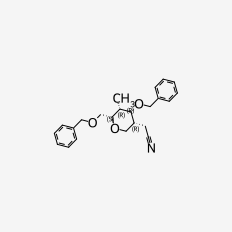 C[C@@H]1[C@H](OCc2ccccc2)[C@H](CC#N)CO[C@@H]1COCc1ccccc1